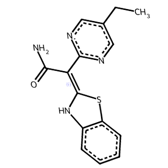 CCc1cnc(/C(C(N)=O)=C2/Nc3ccccc3S2)nc1